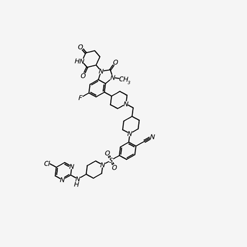 Cn1c(=O)n(C2CCC(=O)NC2=O)c2cc(F)cc(C3CCN(CC4CCN(c5cc(S(=O)(=O)N6CCC(Nc7ncc(Cl)cn7)CC6)ccc5C#N)CC4)CC3)c21